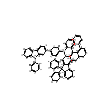 c1ccc(-c2cccc3cccc(-c4ccccc4N(c4ccc(-c5ccc6c7ccccc7n(-c7ccccc7)c6c5)cc4)c4ccc5c(c4)C(c4ccccc4)(c4ccccc4)c4ccccc4-5)c23)cc1